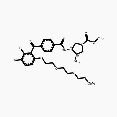 COCCOCCOCCOc1ccc(F)c(F)c1C(=O)c1ccc(C(=O)N[C@@H]2CN(C(=O)OC(C)(C)C)C[C@H]2N)cc1